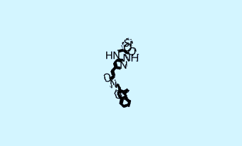 Cc1c(CN(C)C(=O)/C=C/c2cnc3c(c2)NC[C@@](C)(O[Si](C)(C)C)C(=O)N3)oc2ccccc12